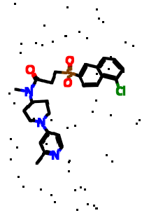 Cc1cc(N2CCC(N(C)C(=O)CCS(=O)(=O)c3ccc4c(Cl)cccc4c3)CC2)ccn1